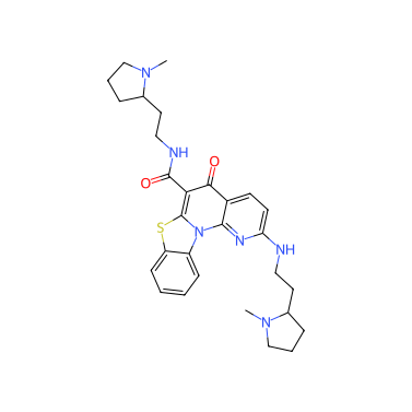 CN1CCCC1CCNC(=O)c1c(=O)c2ccc(NCCC3CCCN3C)nc2n2c1sc1ccccc12